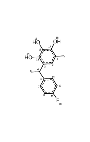 Cc1cc(C(C)c2ccc(F)cc2)c(O)c(O)c1O